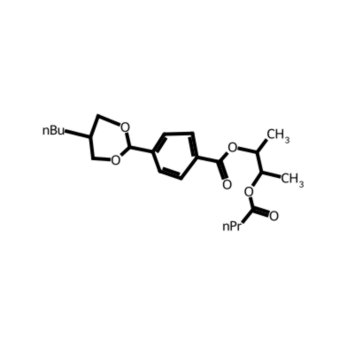 CCCCC1COC(c2ccc(C(=O)OC(C)C(C)OC(=O)CCC)cc2)OC1